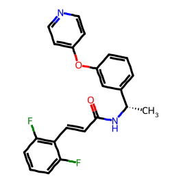 C[C@H](NC(=O)/C=C/c1c(F)cccc1F)c1cccc(Oc2ccncc2)c1